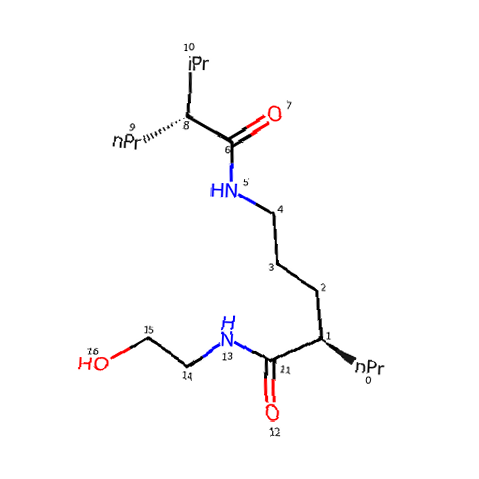 CCC[C@H](CCCNC(=O)[C@H](CCC)C(C)C)C(=O)NCCO